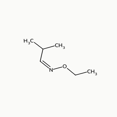 CCO/N=C\C(C)C